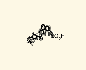 CC1(C)OCc2ccc(C(=O)N3CCC4(CC3)COc3ccc(CNC(=O)O)cc34)cc2O1